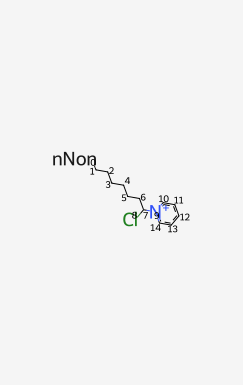 CCCCCCCCCCCCCCCC(Cl)[n+]1ccccc1